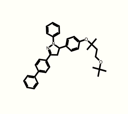 CC(C)(C)OCCC(C)(C)Oc1ccc(C2CC(c3ccc(-c4ccccc4)cc3)=NN2c2ccccc2)cc1